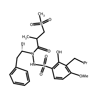 CC[C@@H](Cc1ccccc1)N(NS(=O)(=O)c1ccc(OC)c(CC(C)C)c1O)C(=O)C(C)CS(C)(=O)=O